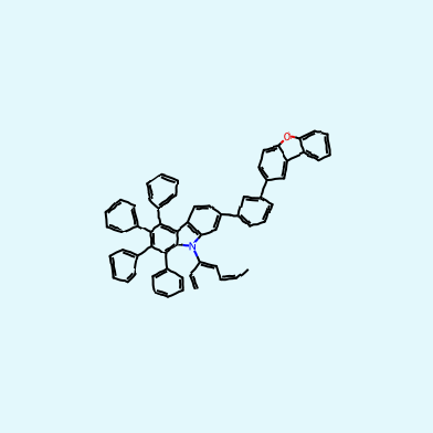 C=C/C(=C\C=C/C)n1c2cc(-c3cccc(-c4ccc5oc6ccccc6c5c4)c3)ccc2c2c(-c3ccccc3)c(-c3ccccc3)c(-c3ccccc3)c(-c3ccccc3)c21